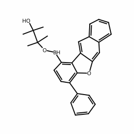 CC(C)(O)C(C)(C)OBc1ccc(-c2ccccc2)c2oc3cc4ccccc4cc3c12